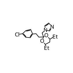 CCC1CC(CC)OC(CCc2ccc(Cl)cc2)(Cn2ccnc2)O1